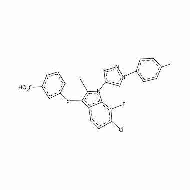 Cc1ccc(-n2cc(-n3c(C)c(Sc4cccc(C(=O)O)c4)c4ccc(Cl)c(F)c43)cn2)cc1